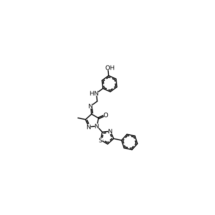 CC1=NN(c2nc(-c3ccccc3)cs2)C(=O)/C1=N\CNc1cccc(O)c1